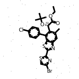 CCOC(=O)[C@@H](OC(C)(C)C)c1c(C)cc2nc(-c3nc(Br)cs3)sc2c1-c1ccc(Cl)cc1